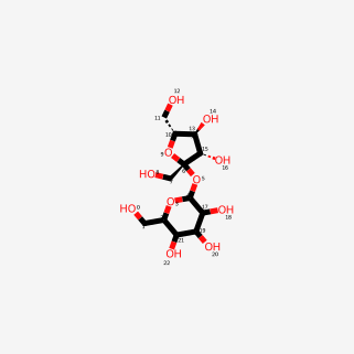 OCC1OC(O[C@]2(CO)O[C@H](CO)[C@@H](O)[C@@H]2O)C(O)C(O)C1O